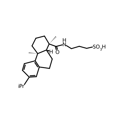 CC(C)c1ccc2c(c1)CC[C@H]1[C@](C)(C(=O)NCCCS(=O)(=O)O)CCC[C@]21C